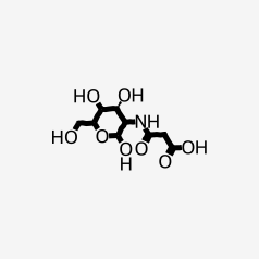 O=C(O)CC(=O)NC1C(O)OC(CO)C(O)[C@@H]1O